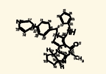 CN1C(=O)c2c(cn(Cc3ccc(-n4ccnc4)cc3)c2Nc2ccccc2)N2C1=N[C@@H]1CCC[C@@H]12